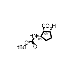 CC(C)(C)OC(=O)N[C@@H]1CCC[C@@H]1C(=O)O